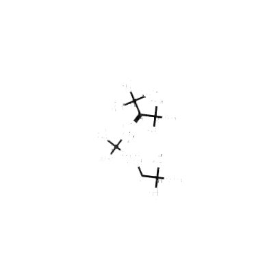 [2H]C([2H])([2H])C#N.[2H]C([2H])([2H])C(=O)C([2H])([2H])[2H].[2H]C([2H])([2H])CO